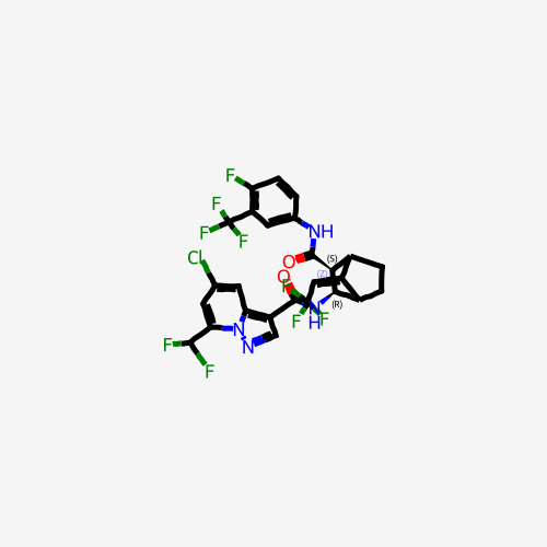 O=C(N[C@@H]1C2CCC(/C2=C/C(F)(F)F)[C@@H]1C(=O)Nc1ccc(F)c(C(F)(F)F)c1)c1cnn2c(C(F)F)cc(Cl)cc12